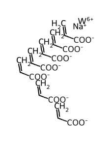 C=CC(=O)[O-].C=CC(=O)[O-].C=CC(=O)[O-].C=CC(=O)[O-].C=CC(=O)[O-].C=CC(=O)[O-].C=CC(=O)[O-].[Na+].[W+6]